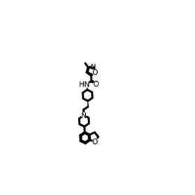 Cc1cc(C(=O)N[C@H]2CC[C@H](CCN3CCC(c4cccc5c4CCO5)CC3)CC2)on1